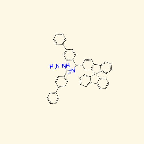 NN/C(=N\C(c1ccc(-c2ccccc2)cc1)C1C=CC2=C(C1)C1(c3ccccc32)c2ccccc2-c2ccccc21)c1ccc(-c2ccccc2)cc1